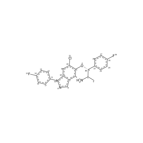 CC(N)[C@H](Oc1cc2cnn(-c3ccc(F)cc3)c2cc1Cl)c1ccc(F)cc1